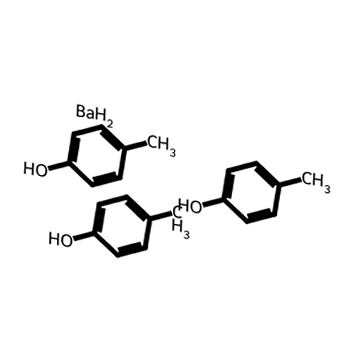 Cc1ccc(O)cc1.Cc1ccc(O)cc1.Cc1ccc(O)cc1.[BaH2]